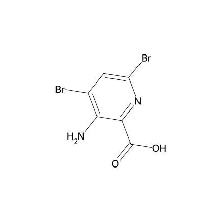 Nc1c(Br)cc(Br)nc1C(=O)O